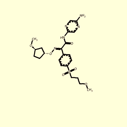 COCCCS(=O)(=O)c1ccc(/C(=N\O[C@@H]2CC[C@@H](OC)C2)C(=O)Nc2cnc(N)cn2)cc1